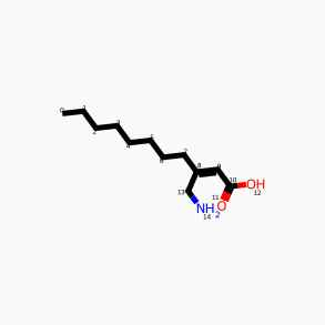 CCCCCCCCC(=CC(=O)O)CN